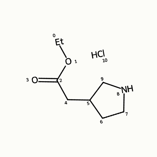 CCOC(=O)CC1CCNC1.Cl